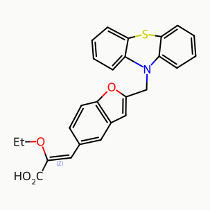 CCO/C(=C\c1ccc2oc(CN3c4ccccc4Sc4ccccc43)cc2c1)C(=O)O